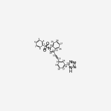 O=S(=O)(c1ccccc1)n1cc(C#Cc2cccc(-c3nnn[nH]3)c2)c2ccccc21